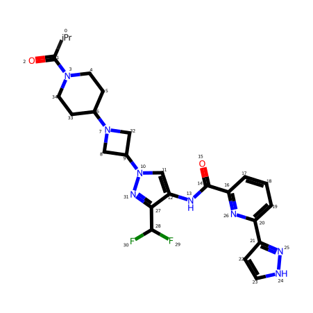 CC(C)C(=O)N1CCC(N2CC(n3cc(NC(=O)c4cccc(-c5cc[nH]n5)n4)c(C(F)F)n3)C2)CC1